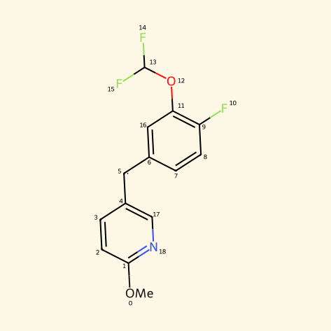 COc1ccc([CH]c2ccc(F)c(OC(F)F)c2)cn1